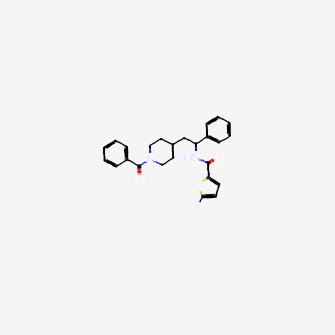 Cc1ccc(C(=O)NC(CC2CCN(C(=O)c3ccccc3)CC2)c2ccccc2)s1